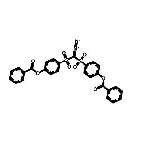 [N-]=[N+]=C(S(=O)(=O)c1ccc(OC(=O)c2ccccc2)cc1)S(=O)(=O)c1ccc(OC(=O)c2ccccc2)cc1